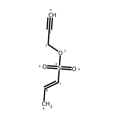 C#CCOS(=O)(=O)C=CC